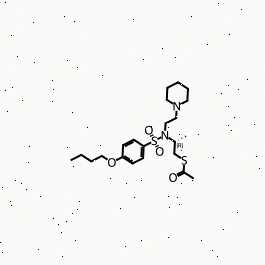 CCCCOc1ccc(S(=O)(=O)N(CCN2CCCCC2)[C@H](C)CSC(C)=O)cc1